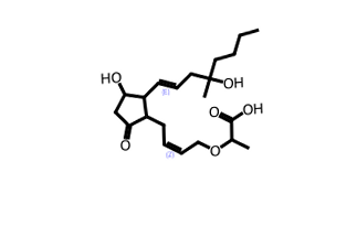 CCCCC(C)(O)C/C=C/C1C(O)CC(=O)C1C/C=C\COC(C)C(=O)O